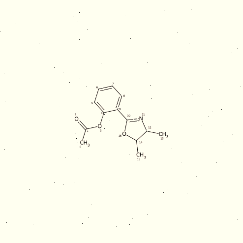 CC(=O)Oc1ccccc1C1=NC(C)C(C)O1